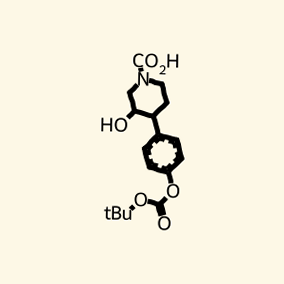 CC(C)(C)OC(=O)Oc1ccc(C2CCN(C(=O)O)CC2O)cc1